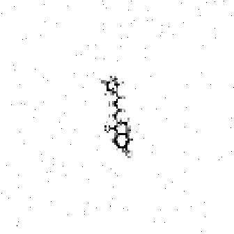 O=c1c2ccc(Cl)cc2ncn1CCCCn1ccnc1